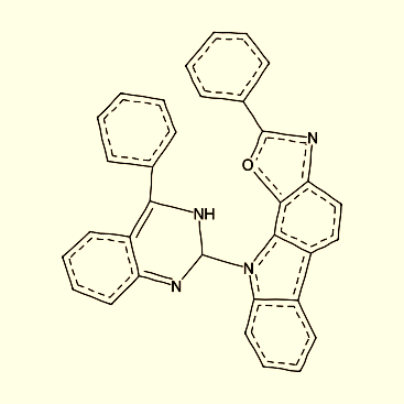 c1ccc(C2=c3ccccc3=NC(n3c4ccccc4c4ccc5nc(-c6ccccc6)oc5c43)N2)cc1